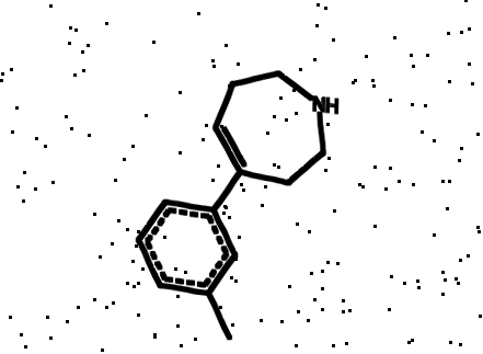 Cc1cccc(C2=CCCNCC2)c1